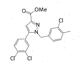 COC(=O)c1cc(-c2ccc(Cl)c(Cl)c2)n(Cc2ccc(C)c(Cl)c2)n1